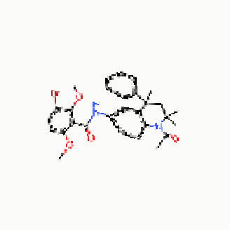 COc1ccc(Br)c(OC)c1C(=O)Nc1ccc2c(c1)C(C)(c1ccccc1)CC(C)(C)N2C(C)=O